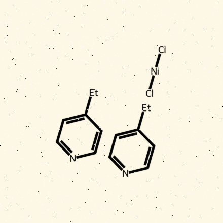 CCc1ccncc1.CCc1ccncc1.[Cl][Ni][Cl]